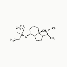 CC[Si](CC)(CC)O[C@H]1CCC[C@]2(C)C(C(C)CO)CCC12